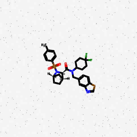 Cc1ccc(S(=O)(=O)N2[C@@H]3CC[C@@H](C3)[C@H]2C(=O)N(Cc2ccc3scnc3c2)C2CCC(F)(F)CC2)cc1